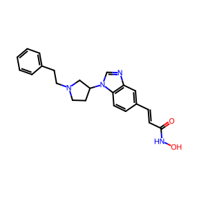 O=C(C=Cc1ccc2c(c1)ncn2C1CCN(CCc2ccccc2)C1)NO